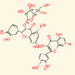 O=c1c(O)c(-c2ccc(O)c(O)c2)oc2cc(O)cc(O)c12.O=c1c(O[C@@H]2O[C@H]([C@H](O)CO)[C@H](O)[C@H]2O)c(-c2ccc(O)c(O)c2)oc2cc(O)cc(O)c12